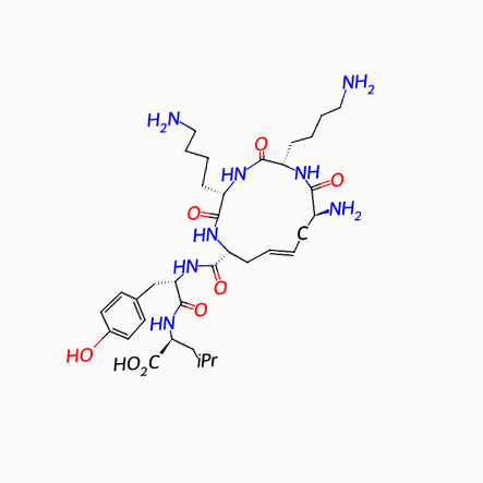 CC(C)C[C@H](NC(=O)[C@H](Cc1ccc(O)cc1)NC(=O)[C@H]1C/C=C/C[C@H](N)C(=O)N[C@@H](CCCCN)C(=O)N[C@@H](CCCCN)C(=O)N1)C(=O)O